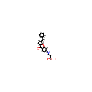 O=C(O)CCNc1ccc2c(=O)c3c(oc2c1)C(=Cc1ccccc1)CC3